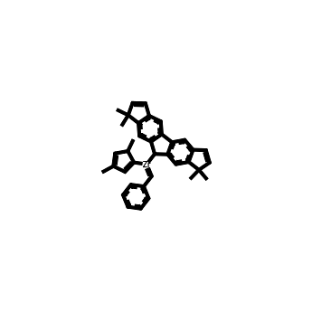 CC1=CC(C)[C]([Zr](=[CH]c2ccccc2)[CH]2c3cc4c(cc3-c3cc5c(cc32)C(C)(C)C=C5)C=CC4(C)C)=C1